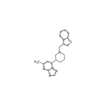 Cc1cc(C2CCCN(Cc3csc4ccccc34)C2)n2ncnc2n1